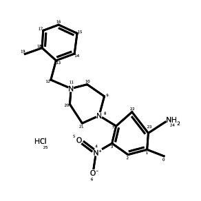 Cc1cc([N+](=O)[O-])c(N2CCN(Cc3ccccc3C)CC2)cc1N.Cl